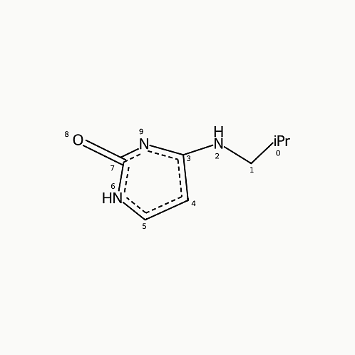 CC(C)CNc1cc[nH]c(=O)n1